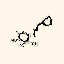 C[C@@H]1O[C@H](SCC=Cc2ccccc2)[C@H](O)[C@H](O)[C@H]1O